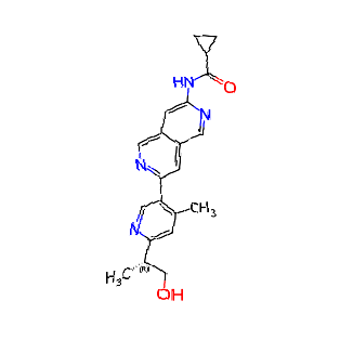 Cc1cc([C@@H](C)CO)ncc1-c1cc2cnc(NC(=O)C3CC3)cc2cn1